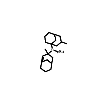 CCCCP(C1(C)C=C2CCCC(C2)C1)C12CCCC(CC(C)C1)C2